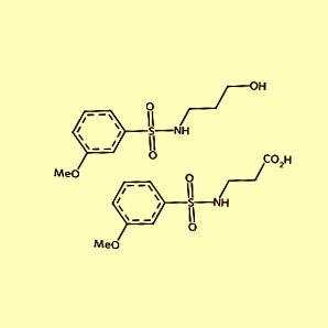 COc1cccc(S(=O)(=O)NCCC(=O)O)c1.COc1cccc(S(=O)(=O)NCCCO)c1